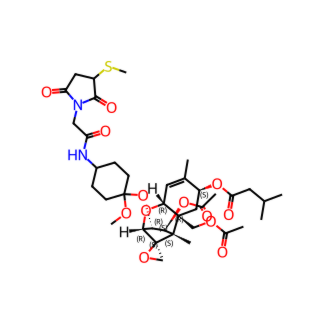 COC1(O[C@@H]2[C@@H](OC(C)=O)[C@]3(C)[C@@]4(COC(C)=O)C[C@H](OC(=O)CC(C)C)C(C)=C[C@H]4O[C@H]2[C@@]32CO2)CCC(NC(=O)CN2C(=O)CC(SC)C2=O)CC1